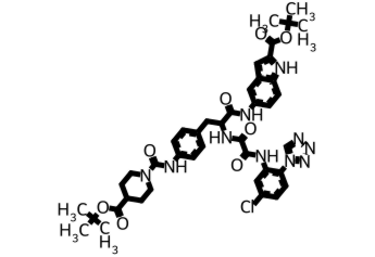 CC(C)(C)OC(=O)c1cc2cc(NC(=O)C(Cc3ccc(NC(=O)N4CCC(C(=O)OC(C)(C)C)CC4)cc3)NC(=O)C(=O)Nc3cc(Cl)ccc3-n3cnnn3)ccc2[nH]1